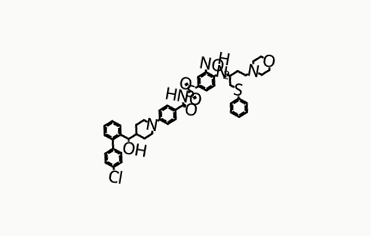 O=C(NS(=O)(=O)c1ccc(NC(CCN2CCOCC2)CSc2ccccc2)c([N+](=O)[O-])c1)c1ccc(N2CCC([C@@H](O)c3ccccc3-c3ccc(Cl)cc3)CC2)cc1